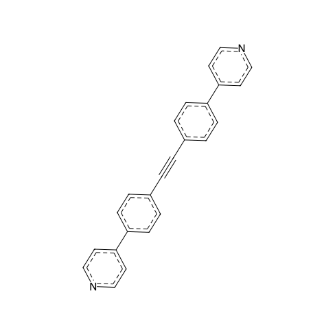 C(#Cc1ccc(-c2ccncc2)cc1)c1ccc(-c2ccncc2)cc1